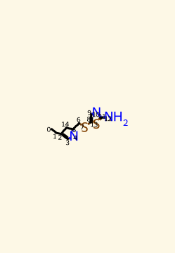 CCC1=CN=C(CSc2cnc(N)s2)C1